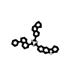 c1ccc(-c2cccc3c(-c4nc(-c5ccc6cc7oc8ccccc8c7cc6c5)nc(-c5ccc6c(ccc7ccccc76)c5)n4)cccc23)cc1